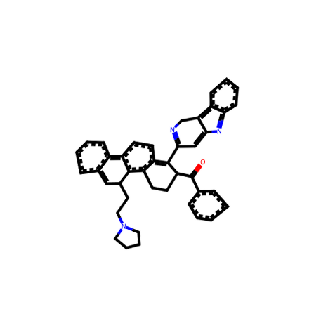 O=C(c1ccccc1)C1CCc2c3c(ccc2=C1C1=NCC2=c4c[c]ccc4=NC2=C1)=c1ccccc1=CC3CCN1CCCC1